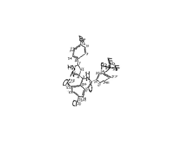 O=C(NC(C1=NNC(c2ccc(Br)cc2)C1)c1ccc(Cl)cc1Cl)c1cccc(C(F)(F)F)c1